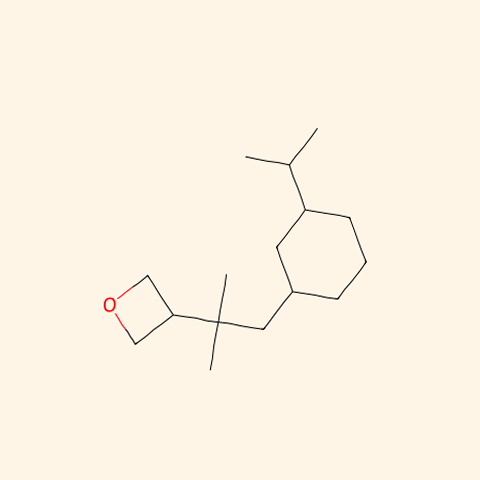 CC(C)C1CCCC(CC(C)(C)C2COC2)C1